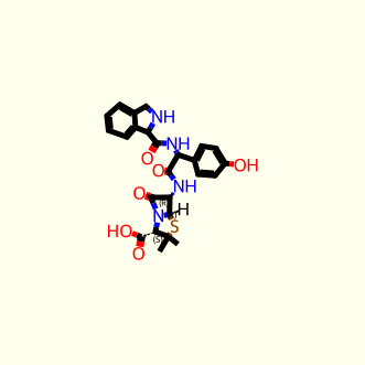 CC1(C)S[C@@H]2[C@H](NC(=O)C(NC(=O)C3NCc4ccccc43)c3ccc(O)cc3)C(=O)N2[C@H]1C(=O)O